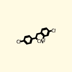 N#CC(Cc1ccc(Cl)cc1Cl)c1ccc(Cl)cc1